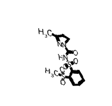 CC1=NN(C(=O)NS(=O)(=O)c2ccccc2S(C)(=O)=O)CC1